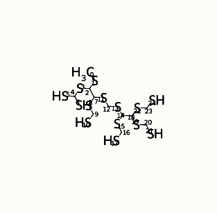 CSC(SC(S)S)C(SCS)SCSC(SCS)C(SCS)SCS